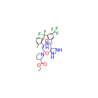 CCOC(=O)C1CCCN(C2/C=C(/c3ccccc3C)[NH+]([O-])C(Cc3cc(C(F)(F)F)cc(C(F)(F)F)c3)C3=C(NCNC3)O2)C1